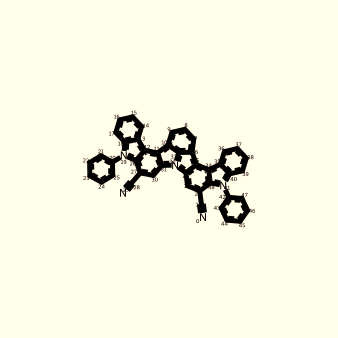 N#Cc1cc2c(c3cccc4c5c6c7ccccc7n(-c7ccccc7)c6c(C#N)cc5n2c34)c2c3ccccc3n(-c3ccccc3)c12